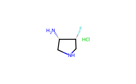 Cl.N[C@H]1CNC[C@H]1F